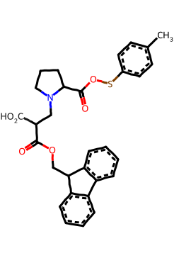 Cc1ccc(SOC(=O)C2CCCN2CC(C(=O)O)C(=O)OCC2c3ccccc3-c3ccccc32)cc1